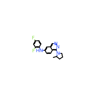 CC1CCCN1c1nncc2cc(Nc3ccc(F)cc3F)ccc12